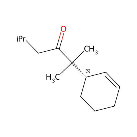 CC(C)CC(=O)C(C)(C)[C@@H]1C=CCCC1